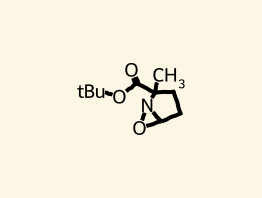 CC(C)(C)OC(=O)C1(C)CCC2ON21